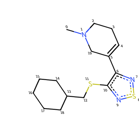 CN1CCC=C(c2nsnc2SCC2CCCCC2)C1